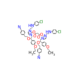 CCCOc1ccc(C(CN2C=CN(CCNc3ccc(Cl)cc3)C2OC(=O)CC(=O)OC2N(CCNc3ccc(Cl)cc3)C=CN2CC(OCCc2ccc(C#N)cc2)c2ccc(OCCC)cc2)OCCc2ccc(C#N)cc2)cc1